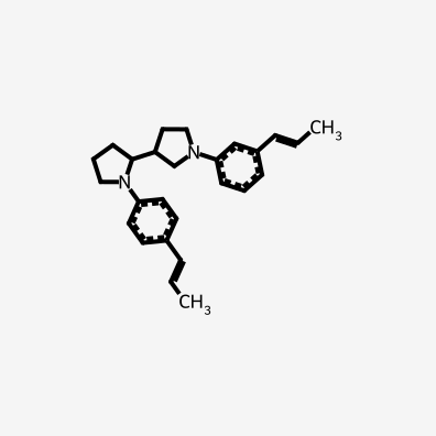 C/C=C/c1ccc(N2CCCC2C2CCN(c3cccc(/C=C/C)c3)C2)cc1